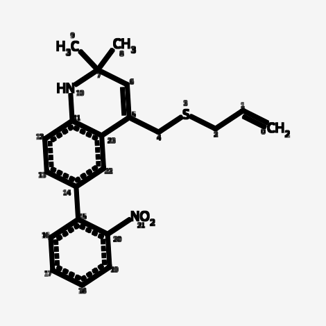 C=CCSCC1=CC(C)(C)Nc2ccc(-c3ccccc3[N+](=O)[O-])cc21